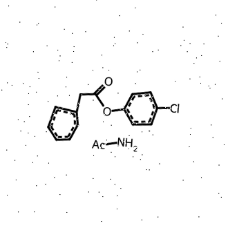 CC(N)=O.O=C(Cc1ccccc1)Oc1ccc(Cl)cc1